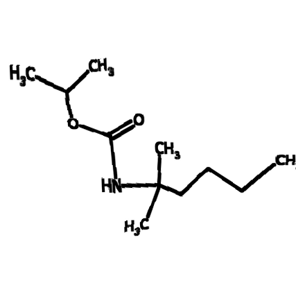 CCCCC(C)(C)NC(=O)OC(C)C